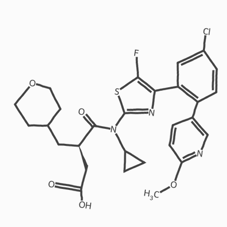 COc1ccc(-c2ccc(Cl)cc2-c2nc(N(C(=O)[C@@H](CC(=O)O)CC3CCOCC3)C3CC3)sc2F)cn1